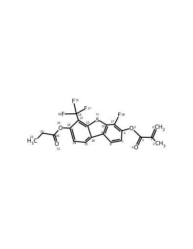 C=C(C)C(=O)Oc1ccc2c(sc3c(C(F)(F)F)c(OC(=O)CC)ccc32)c1F